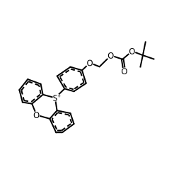 CC(C)(C)OC(=O)OCOc1ccc([S+]2c3ccccc3Oc3ccccc32)cc1